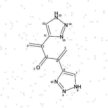 C=C(C(=O)C(=C)c1c[nH]nn1)c1c[nH]nn1